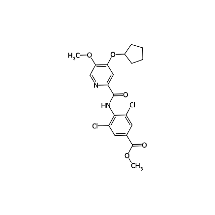 COC(=O)c1cc(Cl)c(NC(=O)c2cc(OC3CCCC3)c(OC)cn2)c(Cl)c1